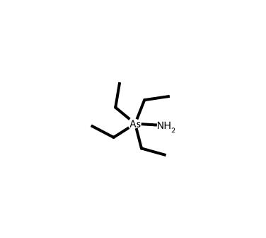 CC[As](N)(CC)(CC)CC